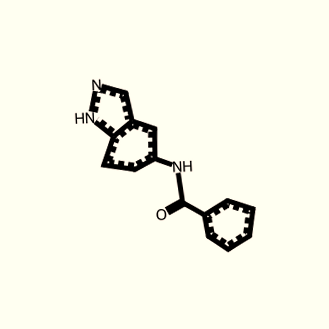 O=C(Nc1ccc2[nH]ncc2c1)c1ccccc1